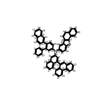 c1ccc(-c2cc(N(c3cc(-c4cc5ccccc5c5ccccc45)c4ccccc4c3)c3ccc4sc5c6ccccc6ccc5c4c3)ccc2-c2ccc3ccccc3c2)cc1